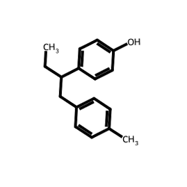 CCC(Cc1ccc(C)cc1)c1ccc(O)cc1